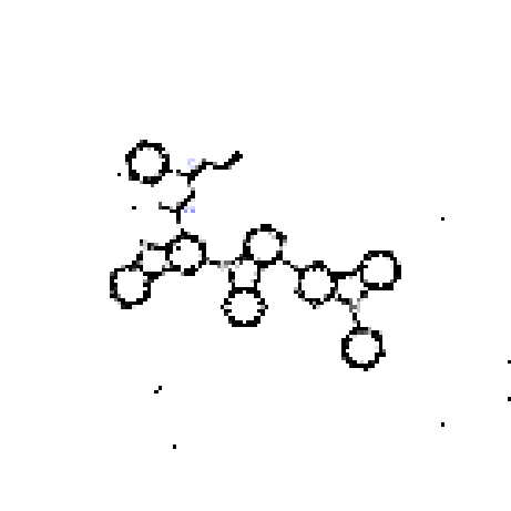 C=C/C=C(\C=C(/C)c1cc(-n2c3ccccc3c3c(-c4ccc5c(c4)c4ccccc4n5-c4ccccc4)cccc32)cc2c1sc1ccccc12)c1ccccc1